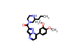 CCCC1CN(C(=O)c2cc3nccc(-c4ccc(OC)c(OC)c4)n3n2)CCN1